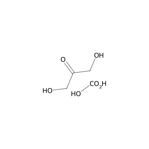 O=C(CO)CO.O=C(O)O